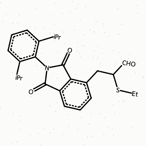 CCSC(C=O)Cc1cccc2c1C(=O)N(c1c(C(C)C)cccc1C(C)C)C2=O